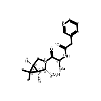 CC(C)(C)[C@H](NC(=O)Cc1cccnc1)C(=O)N1C[C@H]2[C@@H]([C@H]1C(=O)O)C2(C)C